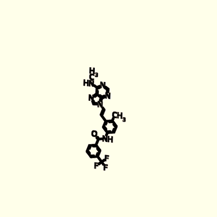 CNc1ncnc2c1ncn2C=Cc1cc(NC(=O)c2cccc(C(F)(F)F)c2)ccc1C